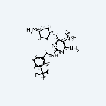 Nc1nc(NCc2cccc(C(F)(F)F)c2F)nc(C[C@H]2CC[C@H](N)CC2)c1[N+](=O)[O-]